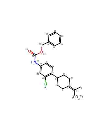 CCOC(=O)C(C)=C1CCC(c2ccc(NC(=O)OCc3ccccc3)cc2Cl)CC1